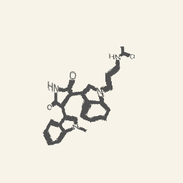 CC(=O)NCCCn1cc(C2=C(c3cn(C)c4ccccc34)C(=O)NC2=O)c2ccccc21